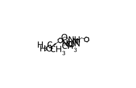 CN1C(=O)C(NC(=O)n2cc(Cc3ccccc3)cn2)COc2ccc(C#CC(C)(C)O)cc21